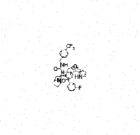 C=CCN(C(=O)NCc1ccc(C(F)(F)F)cc1)C1CC2CCC(C1)N2C[C@H]1CN(C(=O)c2ccc[nH]2)C[C@]1(O)c1cccc(F)c1